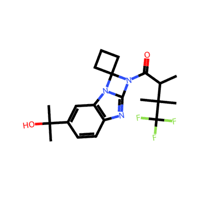 CC(C(=O)N1c2nc3ccc(C(C)(C)O)cc3n2C12CCC2)C(C)(C)C(F)(F)F